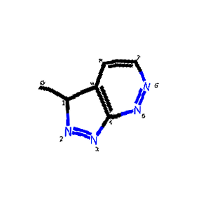 CC1N=Nc2nnccc21